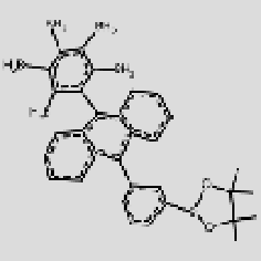 Bc1c(B)c(B)c(-c2c3ccccc3c(-c3cccc(B4OC(C)(C)C(C)(C)O4)c3)c3ccccc23)c(B)c1B